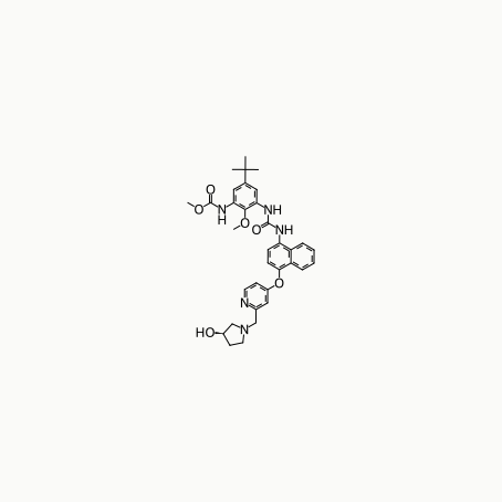 COC(=O)Nc1cc(C(C)(C)C)cc(NC(=O)Nc2ccc(Oc3ccnc(CN4CC[C@@H](O)C4)c3)c3ccccc23)c1OC